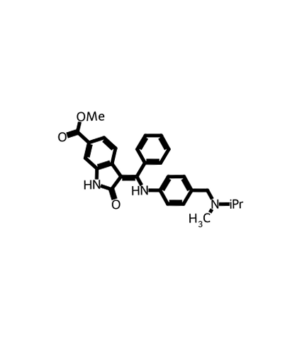 COC(=O)c1ccc2c(c1)NC(=O)/C2=C(\Nc1ccc(CN(C)C(C)C)cc1)c1ccccc1